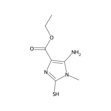 CCOC(=O)c1nc(S)n(C)c1N